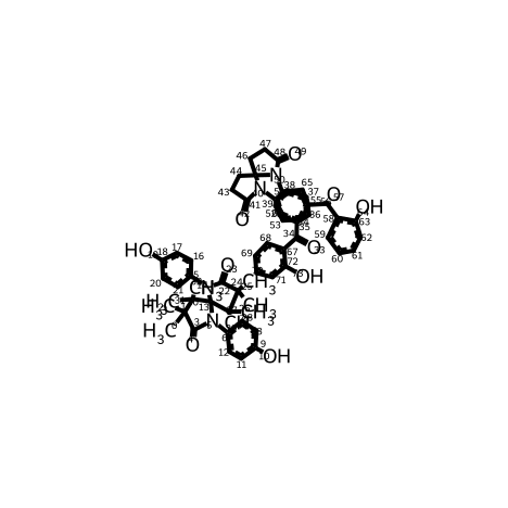 CC1(C)C(=O)N(c2ccc(O)cc2)C2(N(c3ccc(O)cc3)C(=O)C(C)(C)C2(C)C)C1(C)C.O=C(c1cccc(N2C(=O)CCC23CCC(=O)N3c2cccc(C(=O)c3ccccc3O)c2)c1)c1ccccc1O